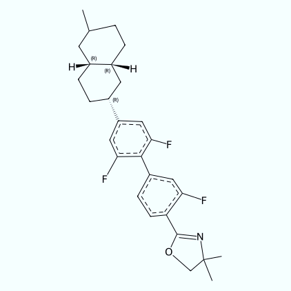 CC1CC[C@@H]2C[C@H](c3cc(F)c(-c4ccc(C5=NC(C)(C)CO5)c(F)c4)c(F)c3)CC[C@@H]2C1